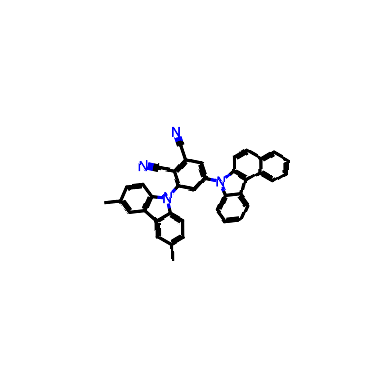 Cc1ccc2c(c1)c1cc(C)ccc1n2C1CC(n2c3ccccc3c3c4ccccc4ccc32)=CC(C#N)=C1C#N